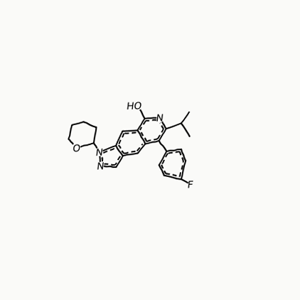 CC(C)c1nc(O)c2cc3c(cnn3C3CCCCO3)cc2c1-c1ccc(F)cc1